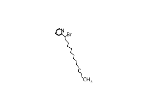 CCCCCCCCCCCCCCC(Br)c1ccccn1